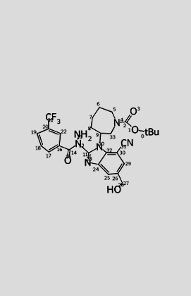 CC(C)(C)OC(=O)N1CCCCC(n2c(N(N)C(=O)c3cccc(C(F)(F)F)c3)nc3cc(CO)cc(C#N)c32)C1